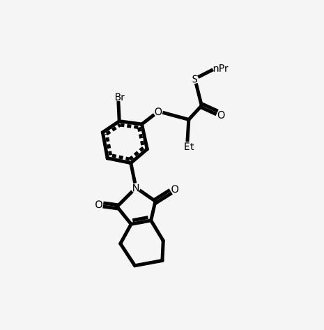 CCCSC(=O)C(CC)Oc1cc(N2C(=O)C3=C(CCCC3)C2=O)ccc1Br